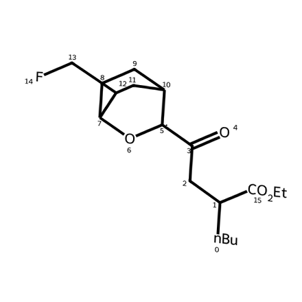 [CH2]CCCC(CC(=O)[C]1OC2CCC1CC2CF)C(=O)OCC